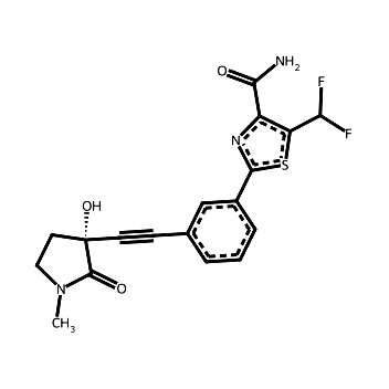 CN1CC[C@@](O)(C#Cc2cccc(-c3nc(C(N)=O)c(C(F)F)s3)c2)C1=O